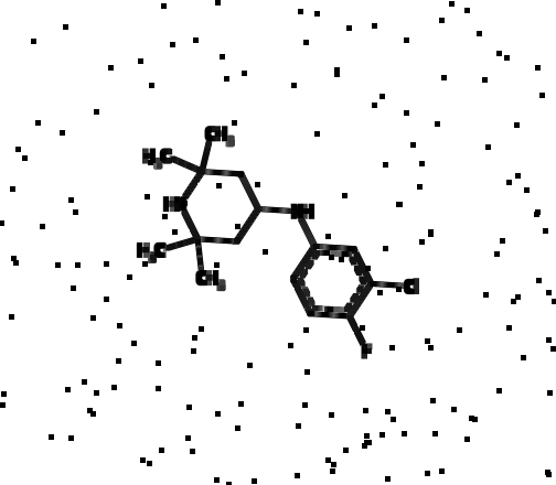 CC1(C)CC(Nc2ccc(F)c(Cl)c2)CC(C)(C)N1